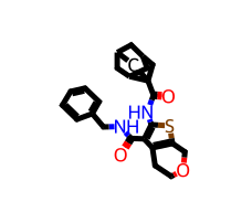 O=C(NCc1ccccc1)c1c(NC(=O)C23CC4CC(CC2C4)C3)sc2c1CCOC2